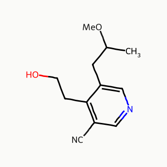 COC(C)Cc1cncc(C#N)c1CCO